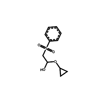 O=S(=O)(CC(O)OC1CC1)c1ccccc1